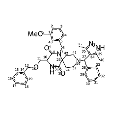 COc1cccc(CN2C(=O)C(COCc3ccccc3)NC(=O)C23CCN(C(c2ccccc2)c2c(C)n[nH]c2C)CC3)c1